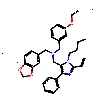 C=Cc1nc(-c2ccccc2)c(CN(Cc2cccc(OCC)c2)Cc2ccc3c(c2)OCO3)n1CCCC